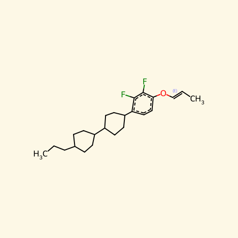 C/C=C/Oc1ccc(C2CCC(C3CCC(CCC)CC3)CC2)c(F)c1F